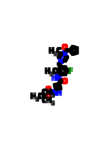 Cc1c(CN2CCN(C(=O)C3CCCC3)[C@@H](C)C2)cc(F)cc1NC(=O)C1CC(NC(=O)OC(C)(C)C)C1